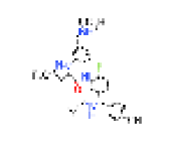 N#Cc1ccc(C(NCC2CC2)c2ccc(F)c(NC(=O)c3cc(C(F)(F)F)nn3-c3cccc(CNC(=O)O)c3)c2)cc1